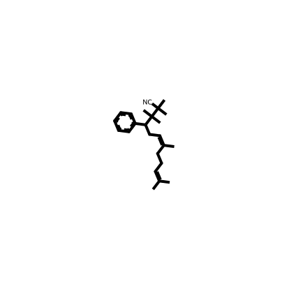 CC(C)=CCC/C(C)=C\CC(c1ccccc1)C(C)(C)C(C)(C)C#N